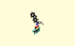 C/C(=N\OS(=O)C(F)(F)C(F)(F)C(F)(F)C(F)F)c1ccc2c(c1)Cc1ccccc1-2